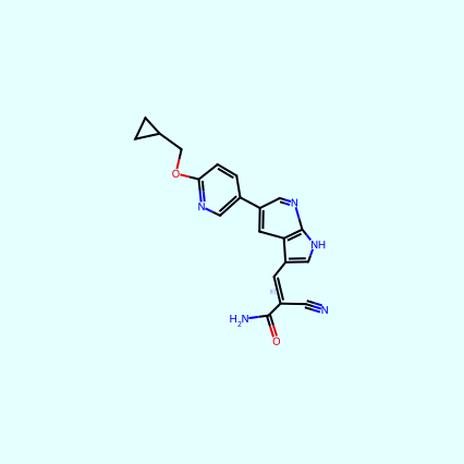 N#C/C(=C\c1c[nH]c2ncc(-c3ccc(OCC4CC4)nc3)cc12)C(N)=O